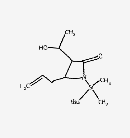 C=CCC1C(C(C)O)C(=O)N1[Si](C)(C)C(C)(C)C